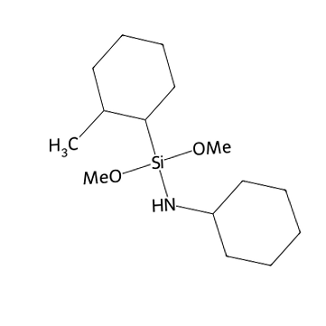 CO[Si](NC1CCCCC1)(OC)C1CCCCC1C